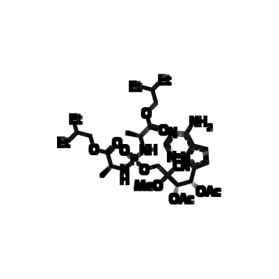 CCC(CC)COC(=O)[C@H](C)NP(=O)(N[C@@H](C)C(=O)OCC(CC)CC)OCC(C#N)(OC)[C@@H](OC(C)=O)[C@@H](OC(C)=O)c1ccc2c(N)ncnn12